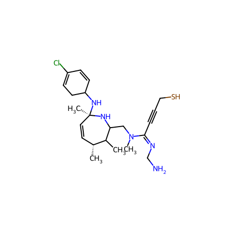 CC1C(CN(C)/C(C#CCS)=N\CN)N[C@](C)(NC2C=CC(Cl)=CC2)C=C[C@H]1C